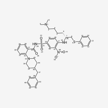 CN(C)CCCC[C@H](CSc1ccccc1)Nc1ccc(S(=O)(=O)NC(=O)c2ccccc2N2CCC(Cc3ccccc3)CC2)cc1[N+](=O)[O-]